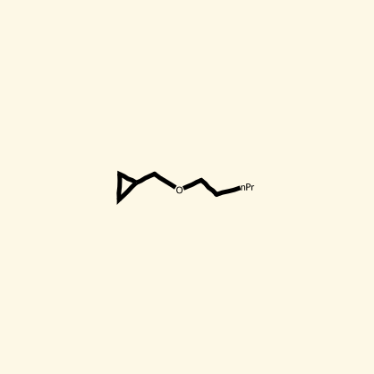 [CH2]CCCCOCC1CC1